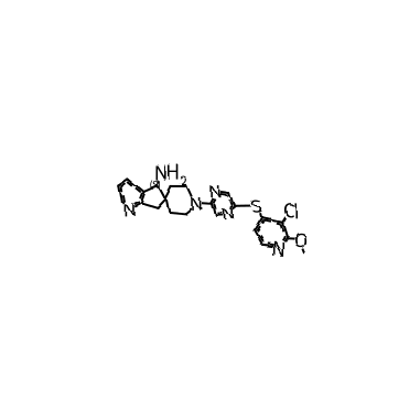 COc1nccc(Sc2cnc(N3CCC4(CC3)Cc3ncccc3[C@H]4N)cn2)c1Cl